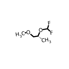 COC[C@@H](C)OC(F)F